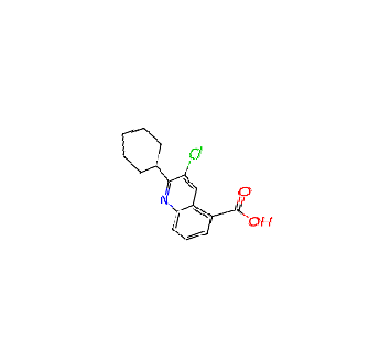 O=C(O)c1cccc2nc(C3CCCCC3)c(Cl)cc12